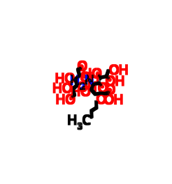 CCCCCOC1(C(=O)O)C[C@H](O)[C@@H](N)[C@H](C(O)C(O)CO)O1.O=CC(O)C(O)C(O)C(O)CO